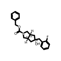 O=C(OCc1ccccc1)N1C[C@@H]2C[C@@](O)(Cc3ccccc3F)C[C@@H]2C1